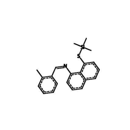 Cc1ccccc1/C=N\c1cccc2cccc(S[Si](C)(C)C)c12